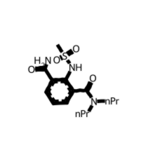 CCCN(CCC)C(=O)c1cccc(C(N)=O)c1NS(C)(=O)=O